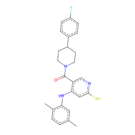 Cc1ccc(C)c(Nc2cc(S)ncc2C(=O)N2CCC(c3ccc(F)cc3)CC2)c1